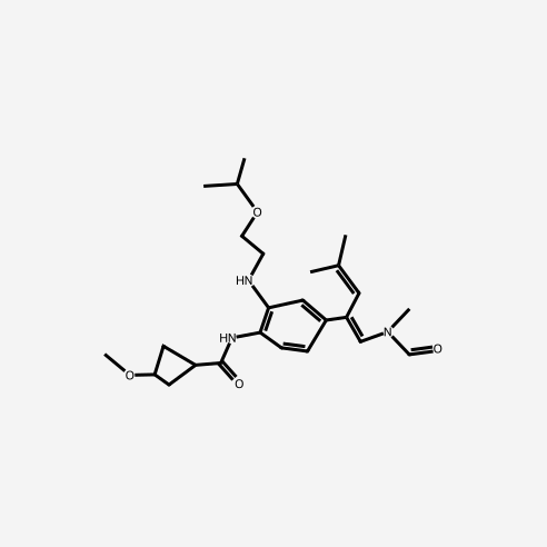 COC1CC(C(=O)Nc2ccc(/C(C=C(C)C)=C/N(C)C=O)cc2NCCOC(C)C)C1